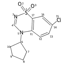 O=S1(=O)N=CN(C2CCCC2)c2ccc(Cl)cc21